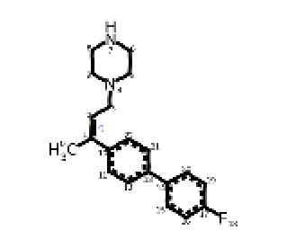 C/C(=C/CN1CCNCC1)c1ccc(-c2ccc(F)cc2)cc1